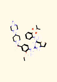 CCOc1cc(C(=O)N2CCC(N3CCN(C)CC3)CC2)ccc1Nc1nc(Nc2ccccc2S(=O)(=O)C(C)C)c2sccc2n1